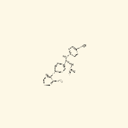 O=S1(=O)N=C(Nc2ccc(Cl)cc2)c2ccc(-c3ncccc3C(F)(F)F)cc21